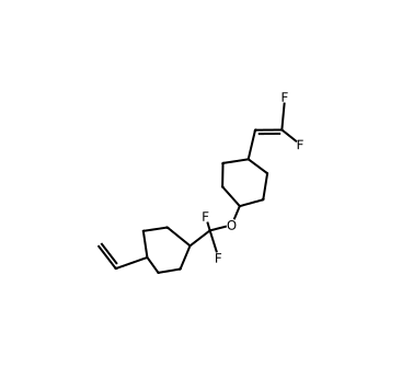 C=CC1CCC(C(F)(F)OC2CCC(C=C(F)F)CC2)CC1